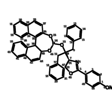 COc1ccc(C2=N[C@H](C(Cc3ccccc3)(Cc3ccccc3)OP3Oc4ccc5ccccc5c4C4c5ccccc5C=CC4O3)CO2)cc1